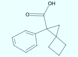 O=C(O)C1(c2ccccc2)CC12CCC2